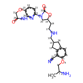 CC(N)COc1ccc2c(c1C#N)CC(CNCCC1CN(c3ccc4c(n3)NC(=O)CO4)C(=O)O1)C2